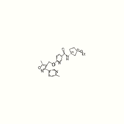 CCO[C@@H]1CC[C@@H](NC(=O)c2ccc(OCc3c(-c4ccc(C)nc4)noc3C)nc2)C1